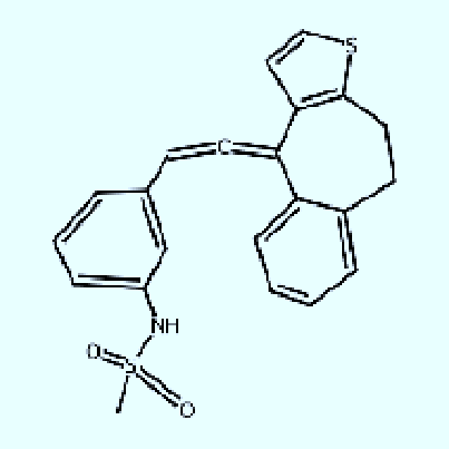 CS(=O)(=O)Nc1cccc(C=C=C2c3ccccc3CCc3sccc32)c1